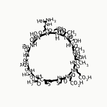 CC[C@H](C)[C@@H]1NC(=O)[C@H](CO)NC(=O)[C@H](CCCNC(=N)N)NC(=O)[C@H](CC(C)C)NC(=O)[C@H]([C@@H](C)O)NC(=O)[C@H](CO)NC(=O)[C@H](C)NC(=O)[C@H]([C@@H](C)O)NC(=O)[C@H](CCCC(=O)O)NC(=O)[C@H](CCC(=O)O)NC(=O)[C@@H]2CSC(=N2)c2cc(cs2)C[C@@H](C(N)=O)NC(=O)[C@H](CO)NC(=O)[C@H](CC(C)=O)NC(=O)CNC1=O